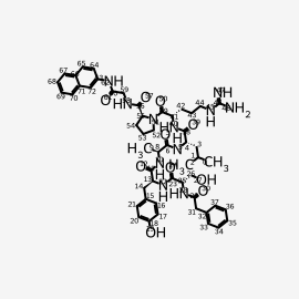 CC(C)C[C@H](NC(=O)[C@H](C)NC(=O)[C@H](Cc1ccc(O)cc1)NC(=O)[C@H](CO)NC(=O)Cc1ccccc1)C(=O)N[C@@H](CCCNC(=N)N)C(=O)N1CCC[C@H]1C(=O)NCC(=O)Nc1ccc2ccccc2c1